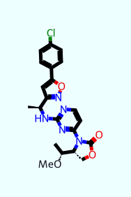 CO[C@H](C)[C@H]1COC(=O)N1c1ccnc(N[C@@H](C)c2cc(-c3ccc(Cl)cc3)on2)n1